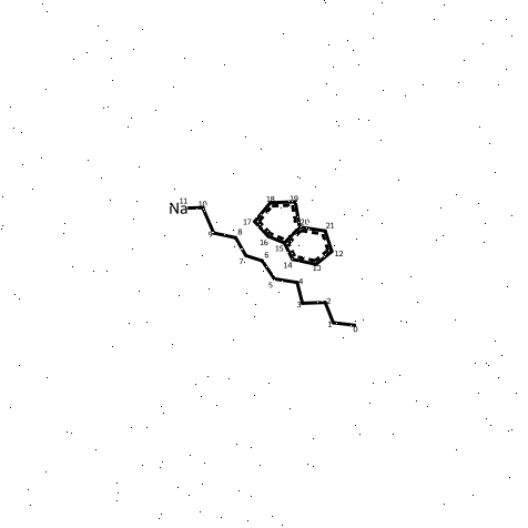 CCCCCCCCCC[CH2][Na].c1ccc2ccccc2c1